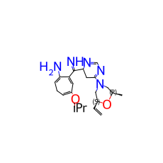 C=C[C@H]1CN(C2=NC=NC(C(=N)C3=CC(OC(C)C)=CCC=C3N)C2)C[C@@H](C)O1